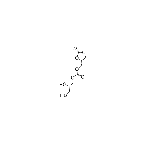 O=C(OCC(O)CO)OCC1COC(=O)O1